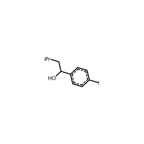 CC(C)CC(O)c1ccc(I)cc1